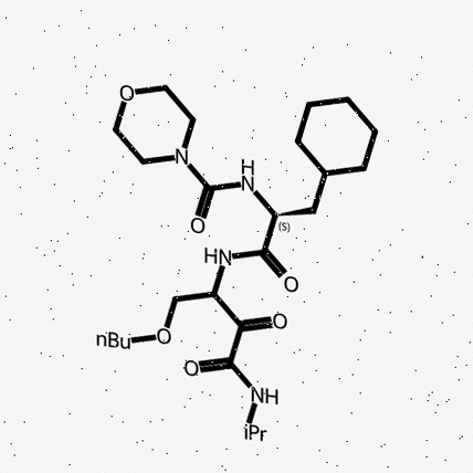 CCCCOCC(NC(=O)[C@H](CC1CCCCC1)NC(=O)N1CCOCC1)C(=O)C(=O)NC(C)C